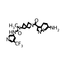 CN(C(=O)Nc1cncc(C(F)(F)F)c1)C1CC2(C1)CN(C(=O)c1cnn3cc(N)ccc13)C2